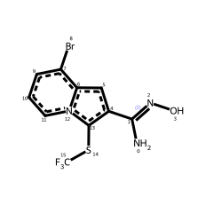 N/C(=N\O)c1cc2c(Br)cccn2c1SC(F)(F)F